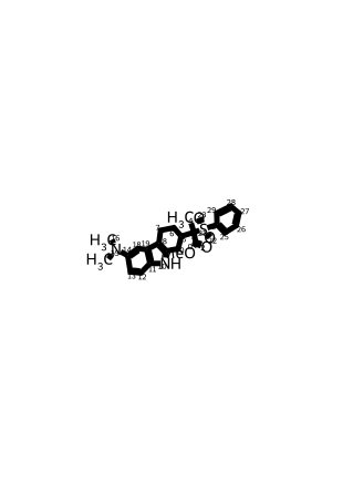 COC(=O)C(C)(C1CCc2c([nH]c3ccc(N(C)C)cc23)C1)S(=O)(=O)c1ccccc1